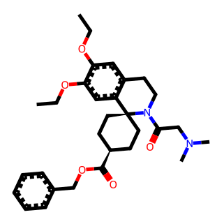 CCOc1cc2c(cc1OCC)[C@]1(CC[C@H](C(=O)OCc3ccccc3)CC1)N(C(=O)CN(C)C)CC2